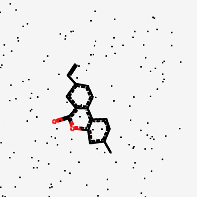 C=Cc1ccc2c(c1)c(=O)oc1cc(C)ccc12